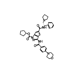 O=C(Nc1nn(C(=O)OC2CCCC2)c2cc(C(=O)N[C@H](CN3CCCC3)c3ccccc3)sc12)c1ccc(N2CCOCC2)cc1